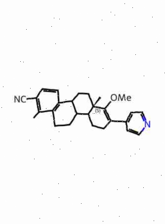 COC1=C(c2ccncc2)CCC2C3CCc4c(ccc(C#N)c4C)C3CC[C@]12C